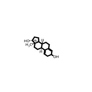 C[C@]12CC[C@@H]3C4=CCC(O)C=C4CC[C@H]3[C@@H]1CC[C@H]2O